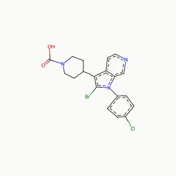 O=C(O)N1CCC(c2c(Br)n(-c3ccc(Cl)cc3)c3cnccc23)CC1